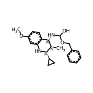 COc1ccc2c(c1)N[C@@H](C1CC1)[C@H](C)[C@H]2NC(O)OCc1ccccc1